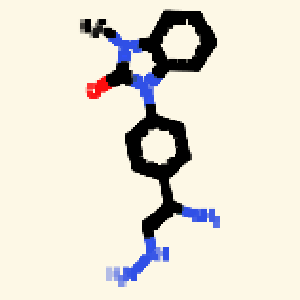 Cn1c(=O)n(-c2ccc(/C(N)=C/NN)cc2)c2ccccc21